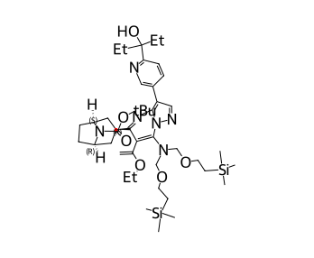 C=C(OCC)c1c([C@H]2C[C@H]3CC[C@@H](C2)N3C(=O)OC(C)(C)C)nc2c(-c3ccc(C(O)(CC)CC)nc3)cnn2c1N(COCC[Si](C)(C)C)COCC[Si](C)(C)C